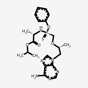 CC(C)OC(=O)[C@H](C)N[P@](=S)(CO[C@H](C)Cn1cnc2c(N)ncnc21)Oc1ccccc1